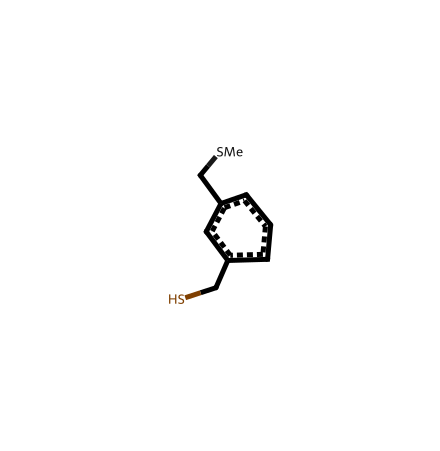 CSCc1cccc(CS)c1